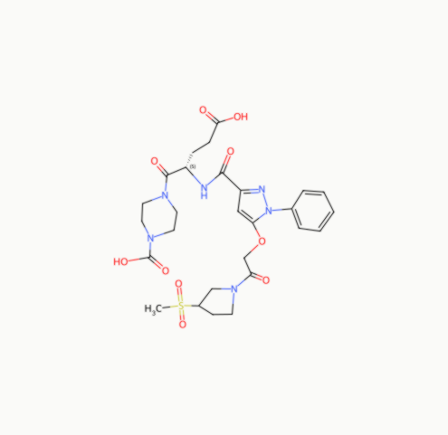 CS(=O)(=O)C1CCN(C(=O)COc2cc(C(=O)N[C@@H](CCC(=O)O)C(=O)N3CCN(C(=O)O)CC3)nn2-c2ccccc2)C1